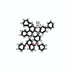 Cc1cc(-c2ccccc2)ccc1N1c2ccc(N(c3ccccc3)c3ccccc3)cc2B2c3c1cc1sc4ccccc4c1c3-c1ccccc1N2c1cccc(-c2ccccc2)c1